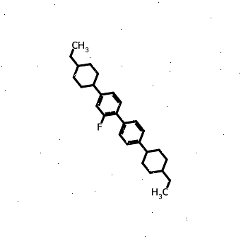 CCC1CCC(c2ccc(-c3ccc(C4CCC(CC)CC4)cc3F)cc2)CC1